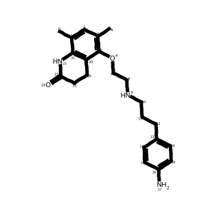 Cc1cc(C)c(OCCNCCCc2ccc(N)cc2)c2c1NC(=O)CC2